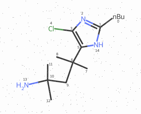 CCCCc1nc(Cl)c(C(C)(C)CC(C)(C)N)[nH]1